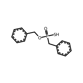 O=P(S)(Cc1ccccc1)OCc1ccccc1